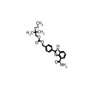 CSSC(C)(C)COC(=O)OCc1ccc(-c2nc3c(C(N)=O)cccc3[nH]2)cc1